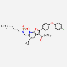 CNC(=O)c1c(-c2ccc(Oc3ccc(F)cc3)cc2)oc2nc(CN(CCCCC(=O)O)[SH](=O)=O)c(C3CC3)cc12